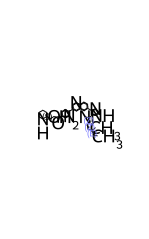 C/C=C(C)/C=C\C=C(/N)c1[nH]cnc1-c1ccc2ncc(-c3ccc(C(=O)OC[C@@H]4CCCCN4)cn3)cc2c1